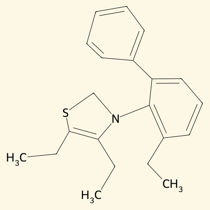 CCC1=C(CC)N(c2c(CC)cccc2-c2ccccc2)CS1